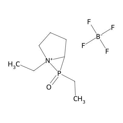 CC[N+]12CCCC1P2(=O)CC.F[B-](F)(F)F